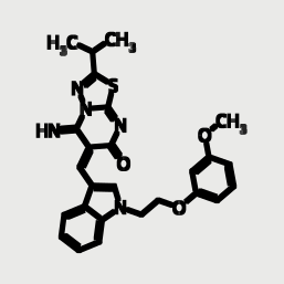 COc1cccc(OCCn2cc(/C=C3/C(=N)N4N=C(C(C)C)SC4=NC3=O)c3ccccc32)c1